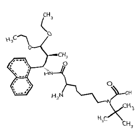 CCOC(OCC)[C@@H](C)[C@H](NC(=O)C(N)CCCCN(C(=O)O)C(C)(C)C)c1cccc2ccccc12